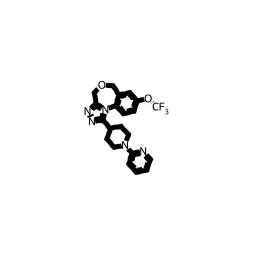 FC(F)(F)Oc1ccc2c(c1)COCc1nnc(C3CCN(c4ccccn4)CC3)n1-2